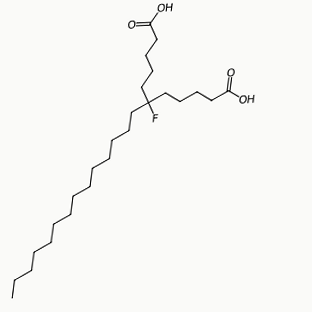 CCCCCCCCCCCCCCC(F)(CCCCC(=O)O)CCCCC(=O)O